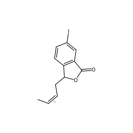 C/C=C\CC1OC(=O)c2cc(I)ccc21